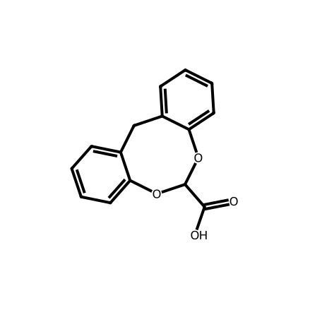 O=C(O)C1Oc2ccccc2Cc2ccccc2O1